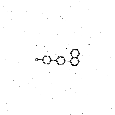 Clc1ccc(-c2ccc(-c3cccc4ccccc34)cc2)cc1